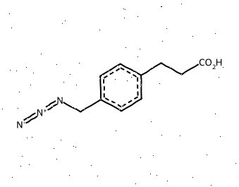 [N-]=[N+]=NCc1ccc(CCC(=O)O)cc1